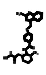 Cc1cc(COc2ccc(C(=O)NC3[C@H](CC(=O)NO)CCCN3C)cc2)c2ccccc2n1